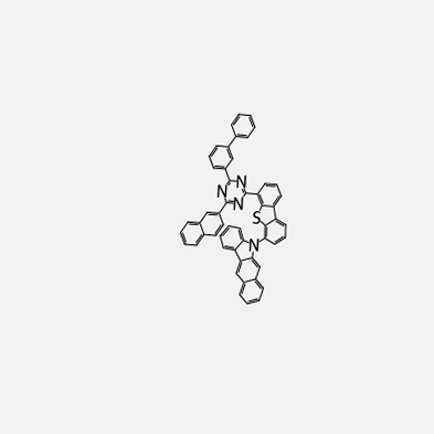 c1ccc(-c2cccc(-c3nc(-c4ccc5ccccc5c4)nc(-c4cccc5c4sc4c(-n6c7ccccc7c7cc8ccccc8cc76)cccc45)n3)c2)cc1